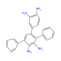 Nc1ccc(-c2cc(-c3ccccc3)c(N)c(N)c2-c2ccccc2)cc1N